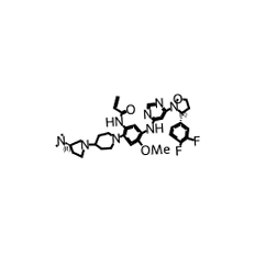 C=CC(=O)Nc1cc(Nc2cc(N3OCC[C@@H]3c3ccc(F)c(F)c3)ncn2)c(OC)cc1N1CCC(N2CC[C@@H](N(C)C)C2)CC1